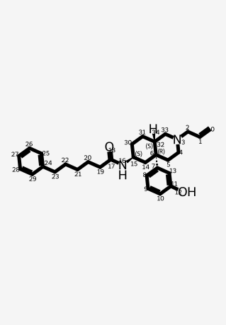 C=CCN1CC[C@@]2(c3cccc(O)c3)C[C@@H](NC(=O)CCCCCc3ccccc3)CC[C@@H]2C1